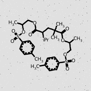 Cc1ccc(S(=O)(=O)OCC(C)OC(=O)C(C)(C)CC(C(=O)OCC(C)OS(=O)(=O)c2ccc(C)cc2)C(C)C)cc1